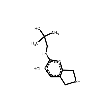 CC(C)(O)[CH]Nc1ncc2c(n1)CNC2.Cl